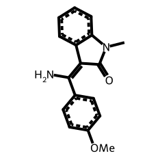 COc1ccc(C(N)=C2C(=O)N(C)c3ccccc32)cc1